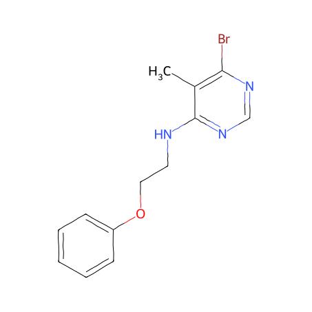 Cc1c(Br)ncnc1NCCOc1ccccc1